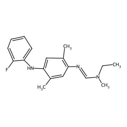 CCN(C)C=Nc1cc(C)c(Nc2ccccc2F)cc1C